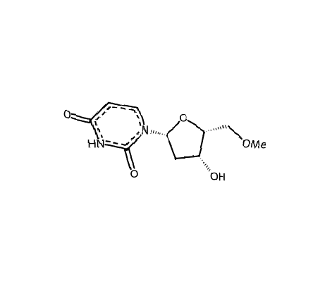 COC[C@H]1O[C@@H](n2ccc(=O)[nH]c2=O)C[C@H]1O